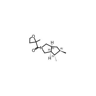 C[C@@H]1[C@H]2CN(C(=O)C3(C)CCO3)C[C@H]2C[C@H]1C